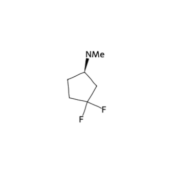 CN[C@@H]1CCC(F)(F)C1